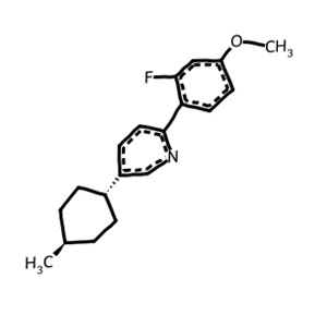 COc1ccc(-c2ccc([C@H]3CC[C@H](C)CC3)cn2)c(F)c1